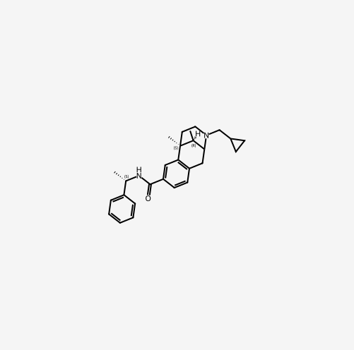 C[C@H](NC(=O)c1ccc2c(c1)[C@@]1(C)CCN(CC3CC3)C(C2)[C@@H]1C)c1ccccc1